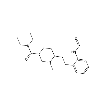 CCN(CC)C(=O)C1CCC(CCc2ccccc2NC=O)N(C)C1